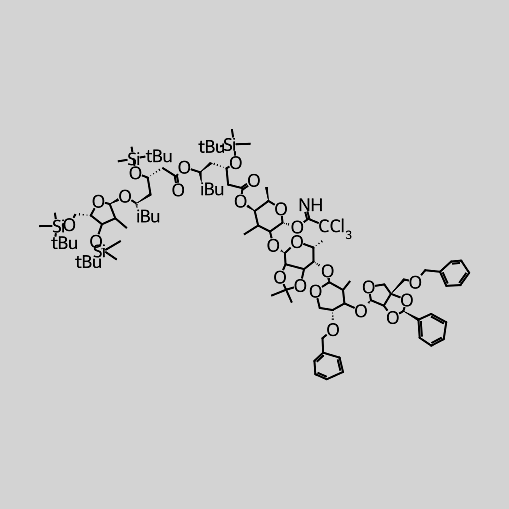 CC[C@H](C)[C@H](C[C@@H](CC(=O)O[C@@H]1C(C)C(O[C@@H]2O[C@H](C)[C@H](O[C@@H]3OC[C@@H](OCc4ccccc4)C(O[C@@H]4OC[C@]5(COCc6ccccc6)O[C@@H](c6ccccc6)OC45)C3C)C3OC(C)(C)OC32)[C@@H](OC(=N)C(Cl)(Cl)Cl)O[C@@H]1C)O[Si](C)(C)C(C)(C)C)OC(=O)C[C@H](C[C@H](O[C@@H]1O[C@@H](CO[Si](C)(C)C(C)(C)C)C(O[Si](C)(C)C(C)(C)C)C1C)[C@@H](C)CC)O[Si](C)(C)C(C)(C)C